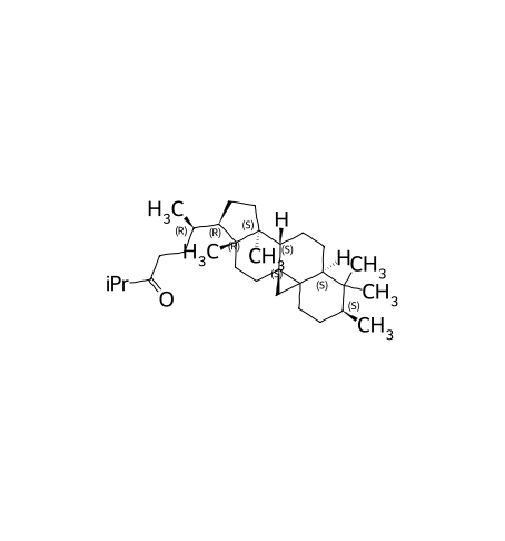 CC(C)C(=O)CC[C@@H](C)[C@H]1CC[C@@]2(C)[C@@H]3CC[C@H]4C(C)(C)[C@@H](C)CCC45C[C@@]35CC[C@]12C